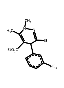 CCOC(=O)C1=C(C)N(C)N=C(CC)C1c1cccc([N+](=O)[O-])c1